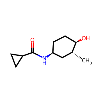 C[C@@H]1C[C@@H](NC(=O)C2CC2)CC[C@H]1O